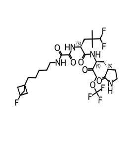 CC(C)(C[C@H](NC(=O)C(=O)NCCCCCC12CC(F)(C1)C2)C(=O)N[C@@H](C[C@@H]1CCNC1=O)C(=O)COC(F)(F)F)C(F)F